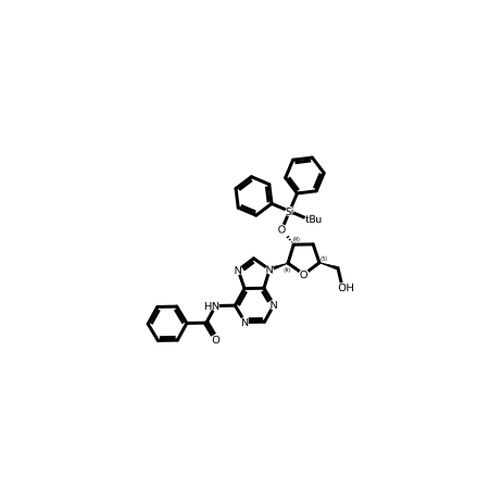 CC(C)(C)[Si](O[C@@H]1C[C@@H](CO)O[C@H]1n1cnc2c(NC(=O)c3ccccc3)ncnc21)(c1ccccc1)c1ccccc1